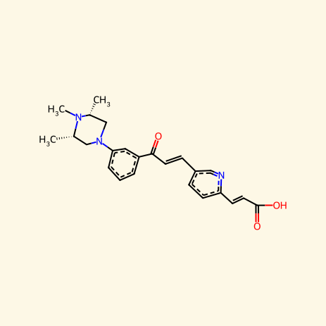 C[C@@H]1CN(c2cccc(C(=O)/C=C/c3ccc(/C=C/C(=O)O)nc3)c2)C[C@H](C)N1C